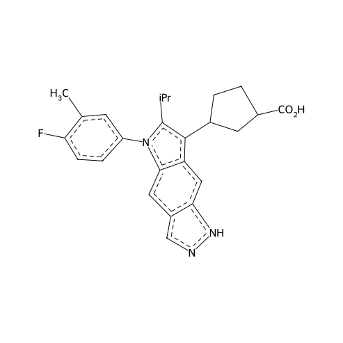 Cc1cc(-n2c(C(C)C)c(C3CCC(C(=O)O)C3)c3cc4[nH]ncc4cc32)ccc1F